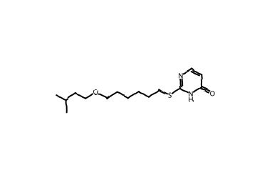 CC(C)CCOCCCCCCSc1nccc(=O)[nH]1